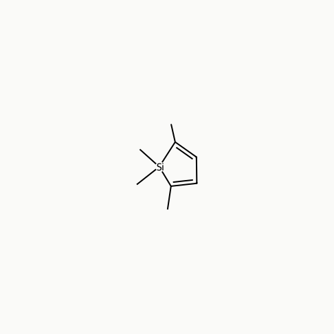 CC1=CC=C(C)[Si]1(C)C